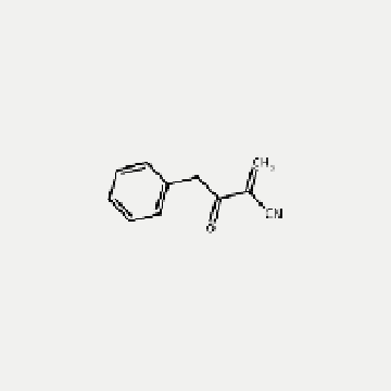 C=C(C#N)C(=O)Cc1ccccc1